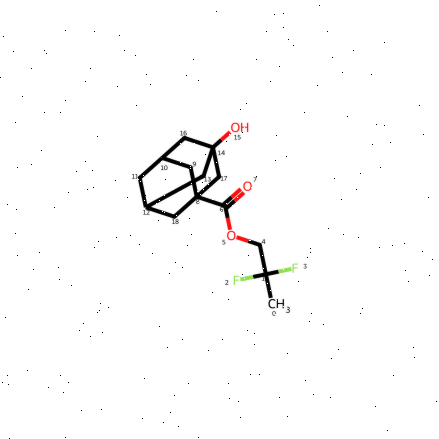 CC(F)(F)COC(=O)C12CC3CC(CC(O)(C3)C1)C2